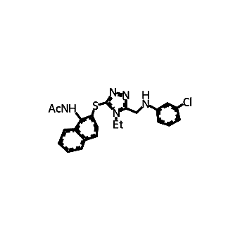 CCn1c(CNc2cccc(Cl)c2)nnc1Sc1ccc2ccccc2c1NC(C)=O